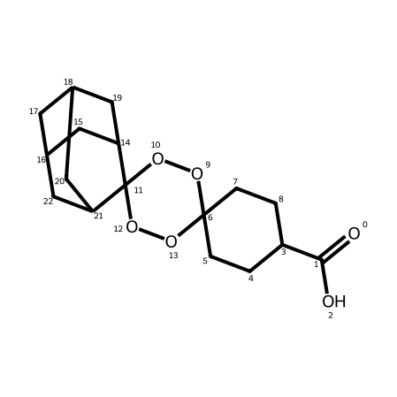 O=C(O)C1CCC2(CC1)OOC1(OO2)C2CC3CC(C2)CC1C3